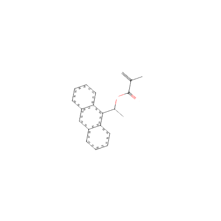 C=C(C)C(=O)OC(C)c1c2ccccc2cc2ccccc12